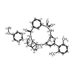 Cc1cccc(C)c1-c1cc2nc(n1)NS(=O)(=O)c1cccc(c1)C(=O)N1[C@@H](c3ncc(OC(C)C)cn3)CC[C@@H](O2)[C@H]1CC(C)C